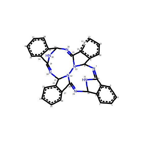 c1ccc2c(c1)/C1=N/C3c4ccccc4/C4=N/C5N/C(=N\C6c7ccccc7/C(=N/C2N1)N6N43)c1ccccc15